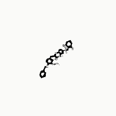 O=C1Nc2cc(S(=O)(=O)Cc3c(Br)cccc3Br)ccc2S/C1=C/c1ccc(OCc2ccccc2)c([N+](=O)[O-])c1